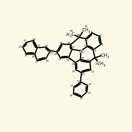 CC1(C)c2cccc3c2-n2c4c1cc(-c1ccccc1)cc4c1cc(-c4ccc5ccccc5c4)cc(c12)C3(C)C